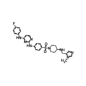 Cn1cncc1CNC1CCN(S(=O)(=O)c2ccc(Nc3nccc(Nc4ccc(F)cc4)n3)cc2)CC1